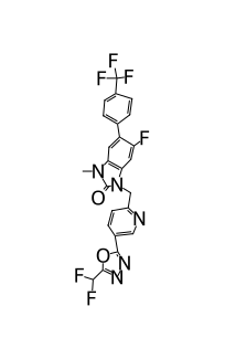 Cn1c(=O)n(Cc2ccc(-c3nnc(C(F)F)o3)cn2)c2cc(F)c(-c3ccc(C(F)(F)F)cc3)cc21